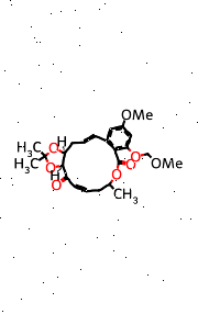 COCOc1cc(OC)cc2c1C(=O)OC(C)C/C=C\C(=O)[C@H]1OC(C)(C)O[C@H]1C/C=C/2